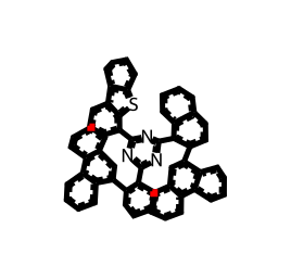 c1ccc(-c2cc3ccccc3c3ccccc23)c(-c2nc(-c3c(-c4cc5ccccc5c5ccccc45)ccc4ccccc34)nc(-c3cccc4c3sc3ccccc34)n2)c1